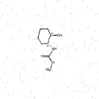 CCCCOC(=O)N[C@@H]1CCCC[C@H]1O